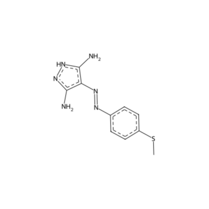 CSc1ccc(N=Nc2c(N)n[nH]c2N)cc1